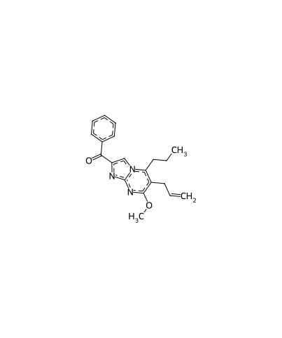 C=CCc1c(OC)nc2nc(C(=O)c3ccccc3)cn2c1CCC